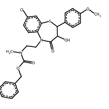 COc1ccc(C2Sc3cc(Cl)ccc3N(CCN(C)C(=O)OCc3ccccc3)C(=O)C2O)cc1